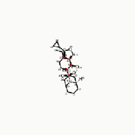 CCN1CCN(S(=O)(=O)N2C3CCC[C@@H]2CC(NC(=O)c2cc(C4CC4)on2)C3)CC1